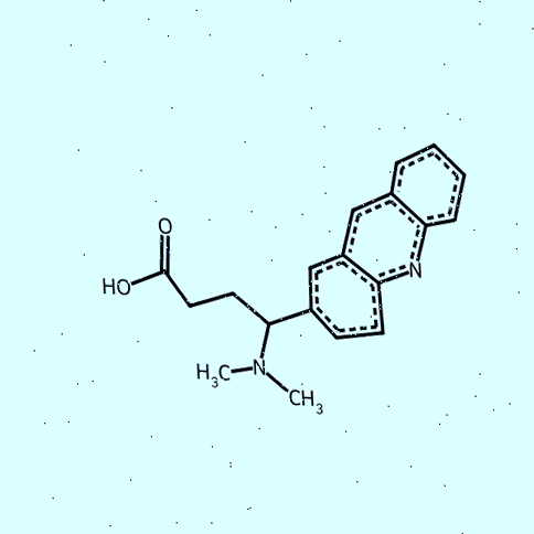 CN(C)C(CCC(=O)O)c1ccc2nc3ccccc3cc2c1